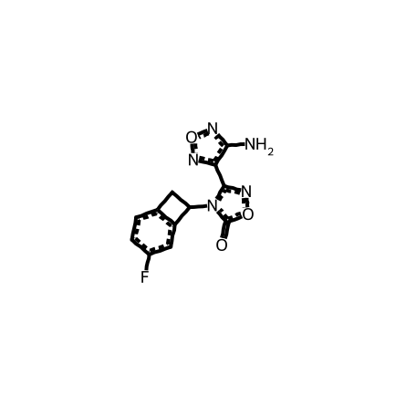 Nc1nonc1-c1noc(=O)n1C1Cc2ccc(F)cc21